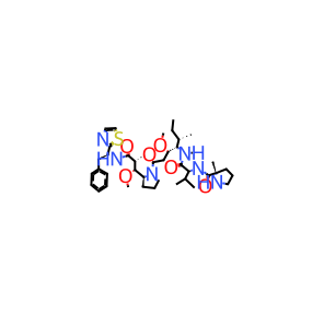 CC[C@H](C)[C@@H](C(CC(=O)N1CCC[C@H]1[C@H](OC)[C@@H](C)C(=O)N[C@@H](Cc1ccccc1)c1nccs1)OC)N(C)C(=O)[C@@H](NC(=O)[C@]1(C)CCCN1)C(C)C